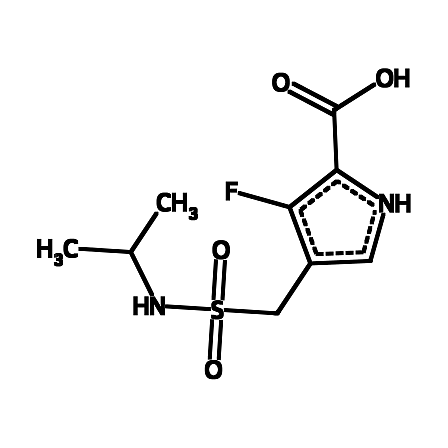 CC(C)NS(=O)(=O)Cc1c[nH]c(C(=O)O)c1F